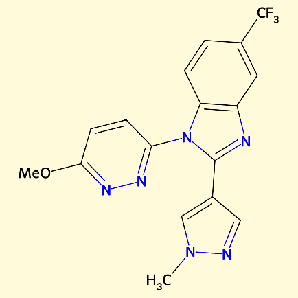 COc1ccc(-n2c(-c3cnn(C)c3)nc3cc(C(F)(F)F)ccc32)nn1